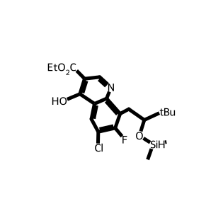 CCOC(=O)c1cnc2c(CC(O[SiH](C)C)C(C)(C)C)c(F)c(Cl)cc2c1O